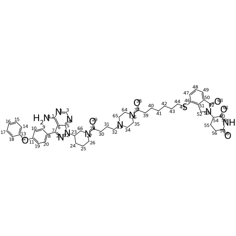 Nc1ncnc2c1c(-c1ccc(Oc3ccccc3)cc1)nn2C1CCCN(C(=O)CCCN2CCN(C(=O)CCCCCCSc3cccc4c3CN(C3CCC(=O)NC3=O)C4=O)CC2)C1